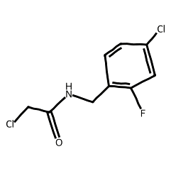 O=C(CCl)NCc1ccc(Cl)cc1F